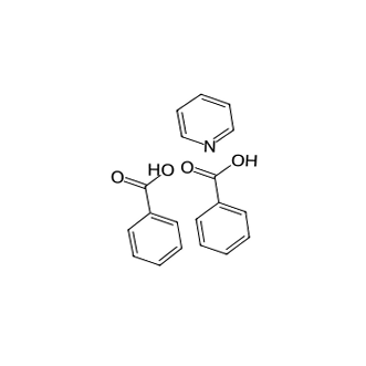 O=C(O)c1ccccc1.O=C(O)c1ccccc1.c1ccncc1